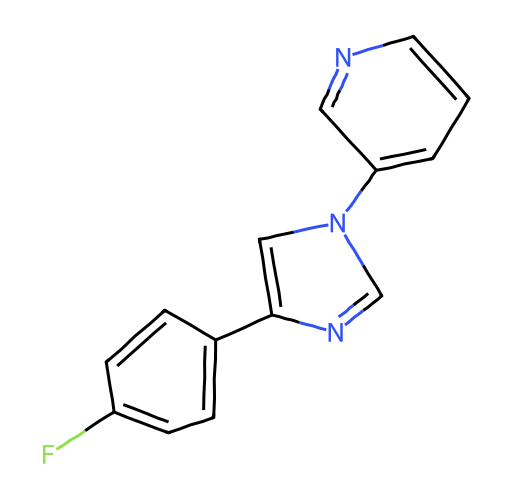 Fc1ccc(-c2cn(-c3cccnc3)cn2)cc1